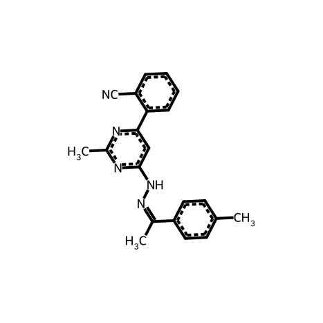 CC(=NNc1cc(-c2ccccc2C#N)nc(C)n1)c1ccc(C)cc1